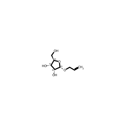 C=CCO[C@H]1O[C@H](CO)[C@@H](O)[C@H]1O